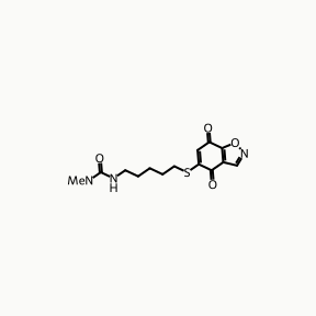 CNC(=O)NCCCCCSC1=CC(=O)c2oncc2C1=O